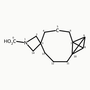 O=C(O)N1CC2(CCCC34C5C3C54CCC2)C1